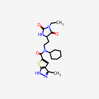 CCN1C(=O)NC(CCN(C(=O)c2cc3c(C)n[nH]c3s2)C2CCCCC2)C1=O